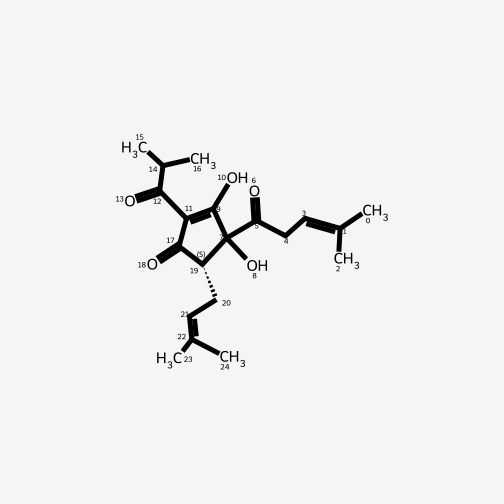 CC(C)=CCC(=O)C1(O)C(O)=C(C(=O)C(C)C)C(=O)[C@H]1CC=C(C)C